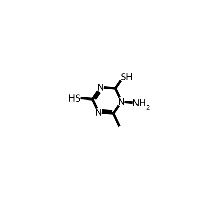 CC1=NC(S)=NC(S)N1N